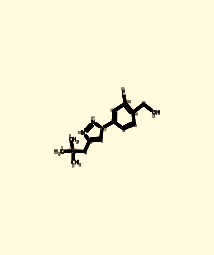 C[Si](C)(C)Cc1cn(-c2ccc(CO)c(F)c2)nn1